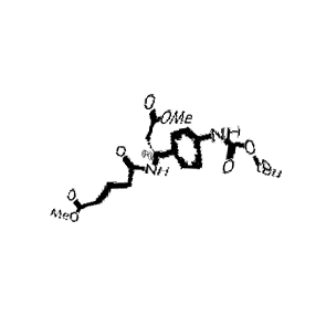 COC(=O)CCCC(=O)N[C@H](CC(=O)OC)c1ccc(NC(=O)OC(C)(C)C)cc1